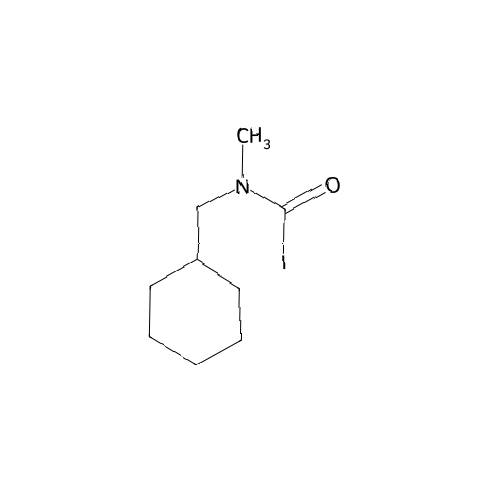 CN(CC1CCCCC1)C(=O)I